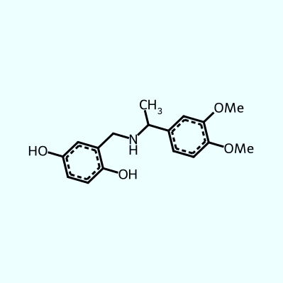 COc1ccc(C(C)NCc2cc(O)ccc2O)cc1OC